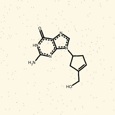 Nc1nc2c(ncn2C2CC=C(CO)C2)c(=O)[nH]1